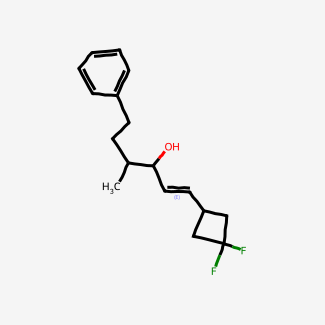 CC(CCc1ccccc1)C(O)/C=C/C1CC(F)(F)C1